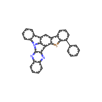 c1ccc(-c2cccc3c2sc2c3cc3c4ccccc4n4c5nc6ccccc6nc5c2c34)cc1